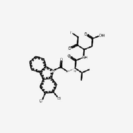 CC(C)[C@H](CC(=O)n1c2ccccc2c2cc(Cl)c(Cl)cc21)C(=O)NC(CC(=O)O)C(=O)CF